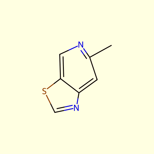 Cc1cc2ncsc2cn1